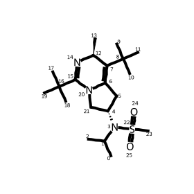 CC(C)N([C@H]1CC2=C(C(C)(C)C)[C@H](C)N=C(C(C)(C)C)N2C1)S(C)(=O)=O